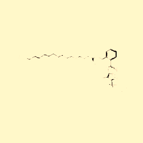 CCCCCCCCCCCCCCCC(=O)OCc1ccccc1-c1nn2nc(C(C)(C)C)c(Cl)c2[nH]1